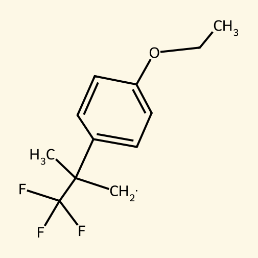 [CH2]C(C)(c1ccc(OCC)cc1)C(F)(F)F